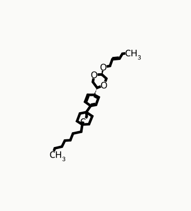 CC/C=C/CO[C@H]1CO[C@H](c2ccc(C34CCC(CCCCCCC)(CC3)CC4)cc2)CO1